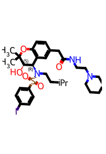 CC(C)CCN([C@@H]1c2cc(CC(=O)NCCN3CCCCC3)ccc2OC(C)(C)[C@H]1O)S(=O)(=O)c1ccc(I)cc1